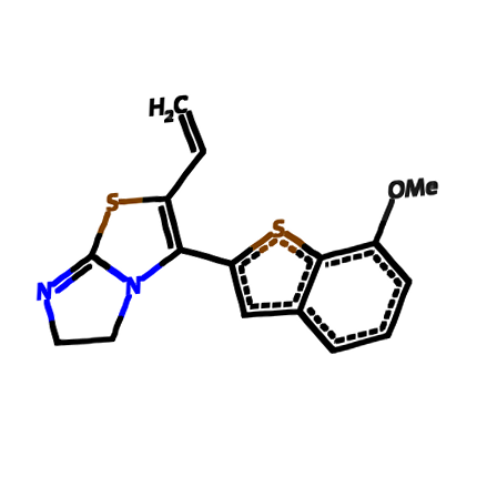 C=CC1=C(c2cc3cccc(OC)c3s2)N2CCN=C2S1